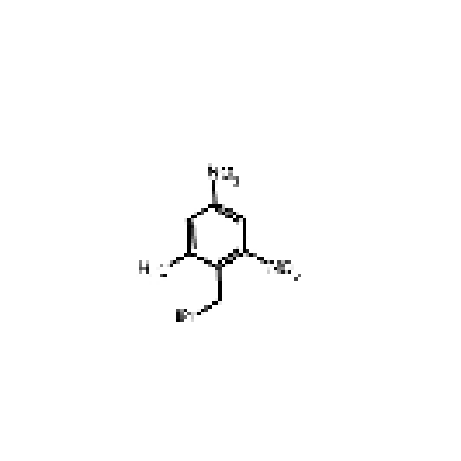 Cc1cc([N+](=O)[O-])cc([N+](=O)[O-])c1CC(C)C